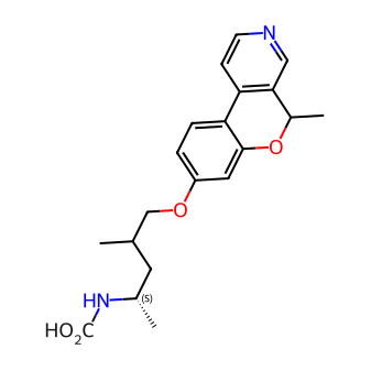 CC(COc1ccc2c(c1)OC(C)c1cnccc1-2)C[C@H](C)NC(=O)O